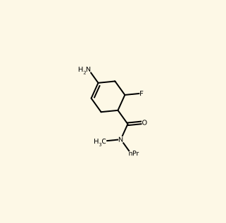 CCCN(C)C(=O)C1CC=C(N)CC1F